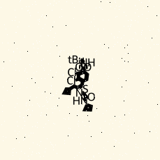 CC(C)(C)NS(=O)(=O)c1ccc(-c2sc(C(=O)NC3CCC3)nc2CC2CCC2)c(Cl)c1Cl